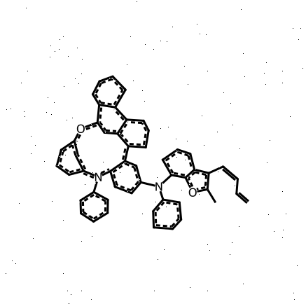 C=C/C=C\c1c(C)oc2c(N(c3ccccc3)c3ccc4c(c3)c3cccc5c6ccccc6c(cc53)oc3cccc(c3)n4-c3ccccc3)cccc12